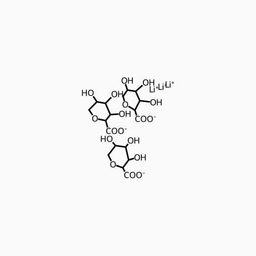 O=C([O-])C1OCC(O)C(O)C1O.O=C([O-])C1OCC(O)C(O)C1O.O=C([O-])C1OCC(O)C(O)C1O.[Li+].[Li+].[Li+]